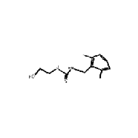 OCCNC(=S)NCc1c(F)cccc1I